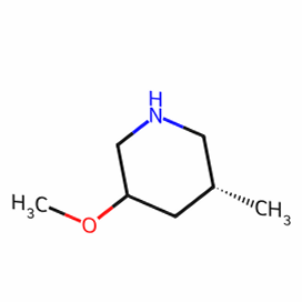 COC1CNC[C@H](C)C1